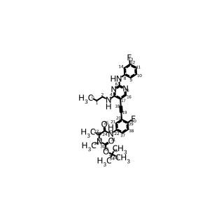 CCCNc1nc(Nc2cccc(F)c2)ncc1C#Cc1cc(NC(=O)[C@H](C)N(C)C(=O)OC(C)(C)C)ccc1F